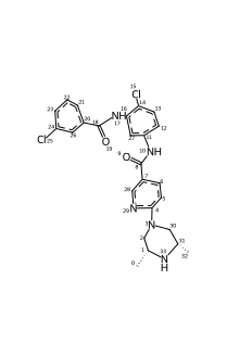 C[C@@H]1CN(c2ccc(C(=O)Nc3ccc(Cl)c(NC(=O)c4cccc(Cl)c4)c3)cn2)C[C@H](C)N1